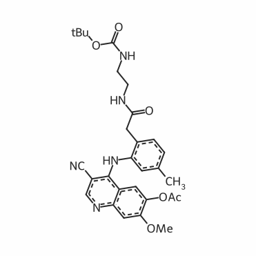 COc1cc2ncc(C#N)c(Nc3cc(C)ccc3CC(=O)NCCNC(=O)OC(C)(C)C)c2cc1OC(C)=O